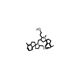 Cc1cccc2c1CCC21CC(CN2C(CO)CCC23CCc2c(C)cccc23)C(CCO)N1C